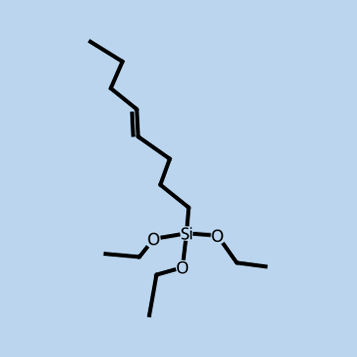 CCCC=CCCC[Si](OCC)(OCC)OCC